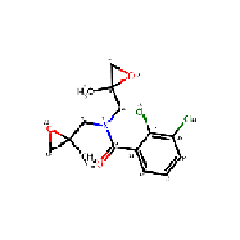 CC1(CN(CC2(C)CO2)C(=O)c2cccc(Cl)c2Cl)CO1